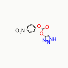 O=C(Oc1ccc([N+](=O)[O-])cc1)Oc1c[nH]nn1